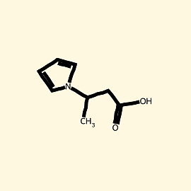 CC(CC(=O)O)n1cccc1